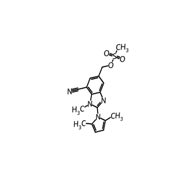 Cc1ccc(C)n1-c1nc2cc(COS(C)(=O)=O)cc(C#N)c2n1C